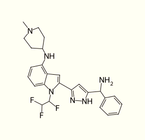 CN1CCC(Nc2cccc3c2cc(-c2cc(C(N)c4ccccc4)[nH]n2)n3C(F)C(F)F)CC1